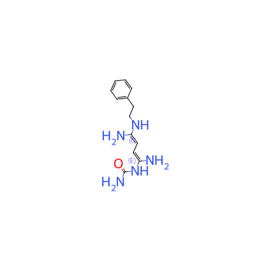 NC(=O)N/C(N)=C/C=C(\N)NCCc1ccccc1